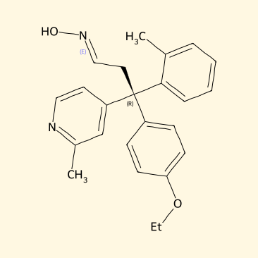 CCOc1ccc([C@](C/C=N/O)(c2ccnc(C)c2)c2ccccc2C)cc1